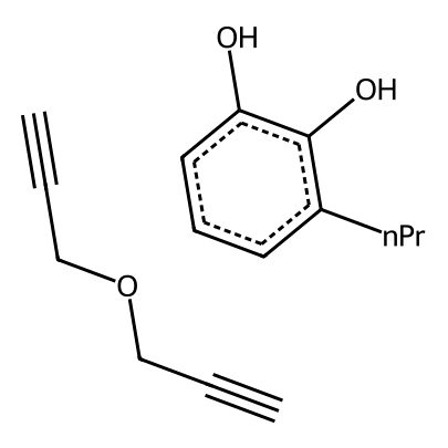 C#CCOCC#C.CCCc1cccc(O)c1O